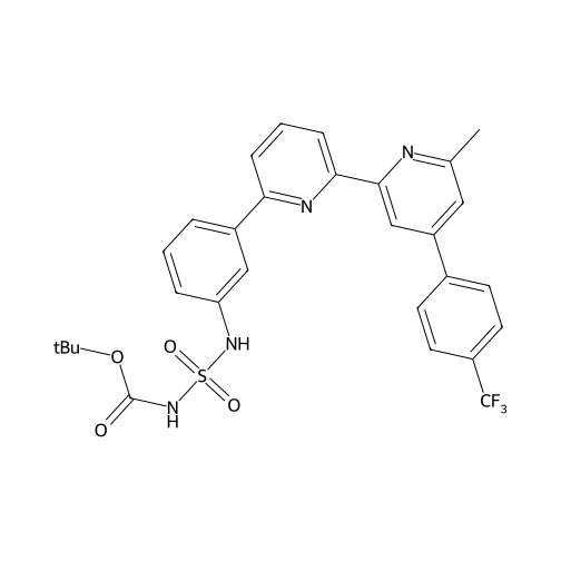 Cc1cc(-c2ccc(C(F)(F)F)cc2)cc(-c2cccc(-c3cccc(NS(=O)(=O)NC(=O)OC(C)(C)C)c3)n2)n1